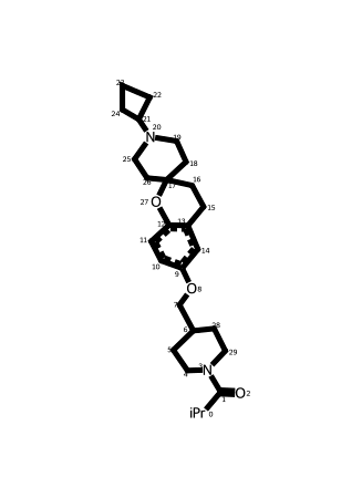 CC(C)C(=O)N1CCC(COc2ccc3c(c2)CCC2(CCN(C4CCC4)CC2)O3)CC1